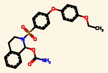 CCOc1ccc(Oc2ccc(S(=O)(=O)N3CCc4ccccc4[C@@H]3OC(N)=O)cc2)cc1